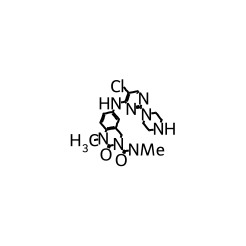 CNC(=O)N1Cc2cc(Nc3nc(N4CCNCC4)ncc3Cl)ccc2N(C)C1=O